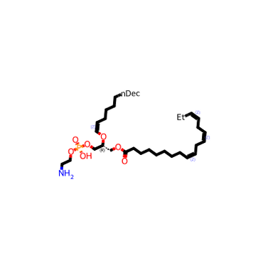 CC/C=C\C/C=C\C/C=C\CCCCCCCC(=O)OC[C@H](COP(=O)(O)OCCN)O/C=C\CCCCCCCCCCCCCC